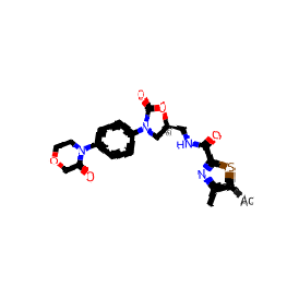 CC(=O)c1sc(C(=O)NC[C@H]2CN(c3ccc(N4CCOCC4=O)cc3)C(=O)O2)nc1C